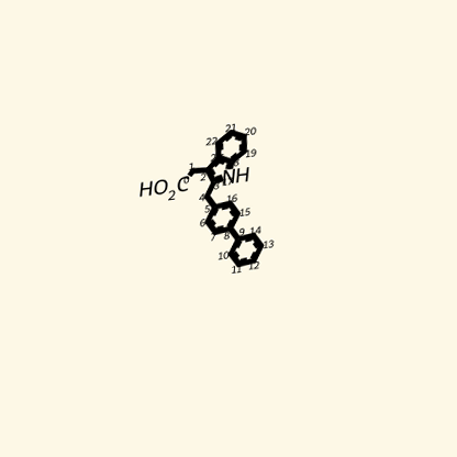 O=C(O)Cc1c(Cc2ccc(-c3ccccc3)cc2)[nH]c2ccccc12